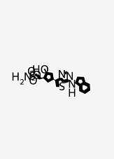 NS(=O)(=O)OC[C@@H]1C[C@@H](c2csc3c(N[C@@H]4CCc5ccccc54)ncnc23)C[C@@H]1O